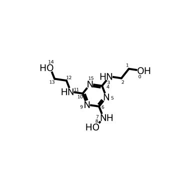 OCCNc1nc(NO)nc(NCCO)n1